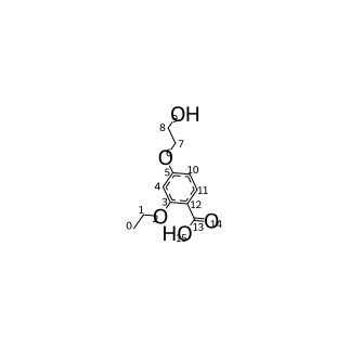 CCOc1cc(OCCO)ccc1C(=O)O